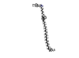 CCCC/C=C\CCCCCCCC(=O)OCCCCCCCCCCCCCCCCCCCCCCC(C)CC